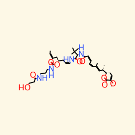 C/C=C\C[C@@H](C/C=C\NC(=O)[C@@H](NC(=O)\C=C/C=C\C(C)=C\[C@H](C)[C@@H]1CC=C(OC)C(=O)O1)C(C)(C)C)OC(=O)NCCCNC(=O)CCO